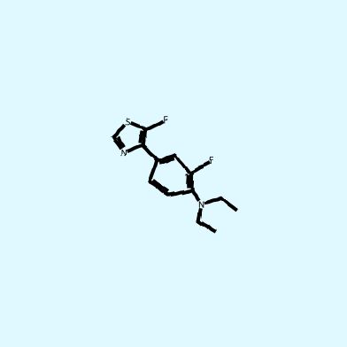 CCN(CC)c1ccc(-c2n[c]sc2F)cc1F